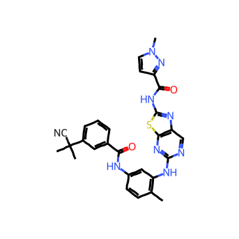 Cc1ccc(NC(=O)c2cccc(C(C)(C)C#N)c2)cc1Nc1ncc2nc(NC(=O)c3ccn(C)n3)sc2n1